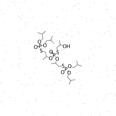 CC(C)COP(=O)(OCC(C)C)SCC(C)OP(=O)(OC(C)CSP(=O)(OCC(C)C)OCC(C)C)SCC(C)O